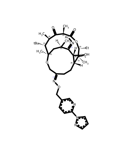 CC[C@H]1OC(=O)[C@H](C)C(=O)[C@H](C)[C@@H](C(C)(C)C)[C@@]2(C)C[C@@H](C)/C(=N\C(C)=O)[C@H](C)[C@@H](CC/C(=N\OCc3ccc(-n4cccn4)nc3)CO2)[C@]1(C)O